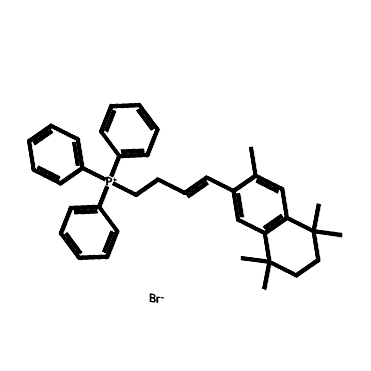 Cc1cc2c(cc1C=CCC[P+](c1ccccc1)(c1ccccc1)c1ccccc1)C(C)(C)CCC2(C)C.[Br-]